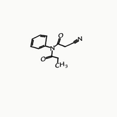 CCC(=O)N(C(=O)CC#N)c1ccccc1